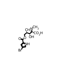 C=N[C@@H](C(=O)O)[C@H](O)[C@@H](C)COC(=O)c1cc(Br)c[nH]1